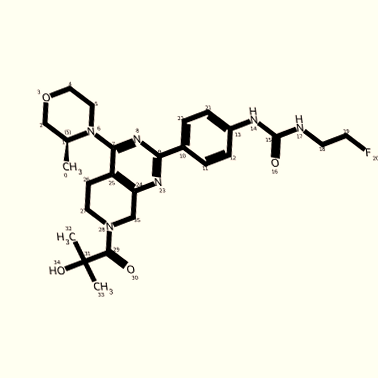 C[C@H]1COCCN1c1nc(-c2ccc(NC(=O)NCCF)cc2)nc2c1CCN(C(=O)C(C)(C)O)C2